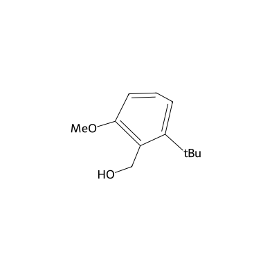 COc1cccc(C(C)(C)C)c1CO